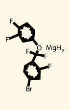 Fc1ccc(OC(F)(F)c2ccc(Br)cc2F)cc1F.[MgH2]